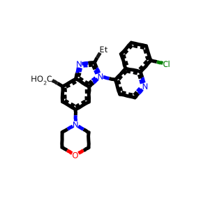 CCc1nc2c(C(=O)O)cc(N3CCOCC3)cc2n1-c1ccnc2c(Cl)cccc12